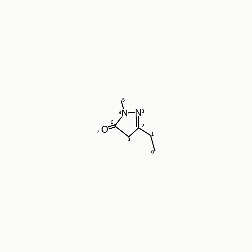 CCC1=NN(C)C(=O)C1